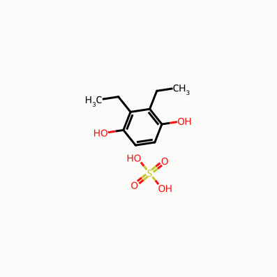 CCc1c(O)ccc(O)c1CC.O=S(=O)(O)O